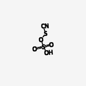 N#CSOS(=O)(=O)O